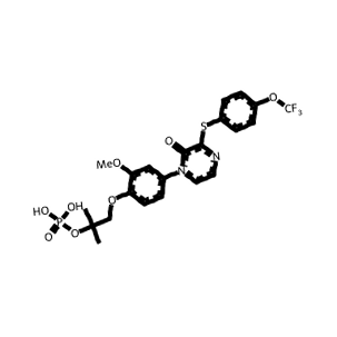 COc1cc(-n2ccnc(Sc3ccc(OC(F)(F)F)cc3)c2=O)ccc1OCC(C)(C)OP(=O)(O)O